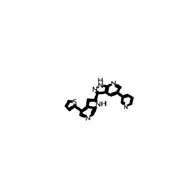 c1cncc(-c2cnc3[nH]nc(-c4cc5c(-c6cccs6)cncc5[nH]4)c3c2)c1